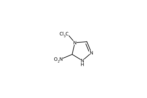 O=[N+]([O-])C1NN=CN1C(Cl)(Cl)Cl